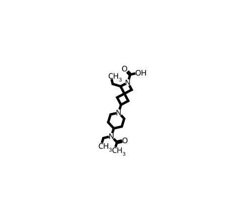 CCC1N(C(=O)O)CC12CC(N1CCC(N(CC)C(C)=O)CC1)C2